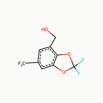 OCc1cc(C(F)(F)F)cc2c1OC(F)(F)O2